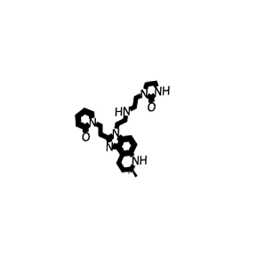 C[C@H]1CCc2c(ccc3c2nc(CCn2ccccc2=O)n3CCNCCN2CCNC2=O)N1